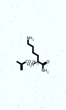 C=C(C)C(=O)O.NCCCC[C@H](N)C(N)=O